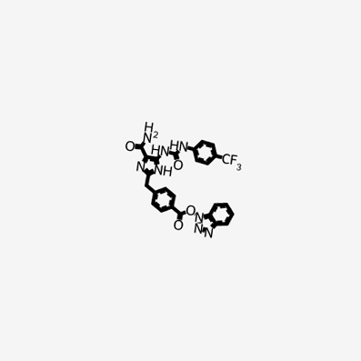 NC(=O)c1nc(Cc2ccc(C(=O)On3nnc4ccccc43)cc2)[nH]c1NC(=O)Nc1ccc(C(F)(F)F)cc1